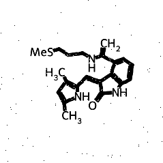 C=C(NCCCSC)c1cccc2c1/C(=C/c1[nH]c(C)cc1C)C(=O)N2